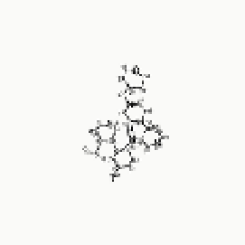 CC(C)c1ncncc1-c1cc(F)ccc1Nc1cncnc1N1CCN(CC2CCOCC2)CC1